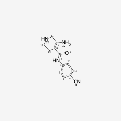 N#Cc1ccc(NC(=O)C2=C(N)CNCC2)cc1